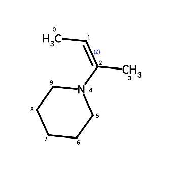 C/C=C(/C)N1CCCCC1